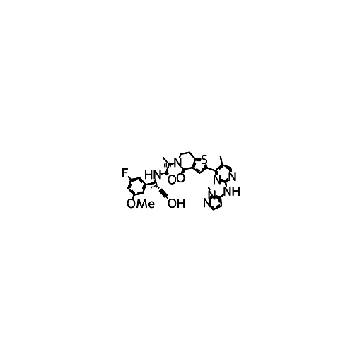 COc1cc(F)cc([C@@H](C#CO)NC(=O)[C@@H](C)N2CCc3sc(-c4nc(Nc5ccnn5C)ncc4C)cc3C2=O)c1